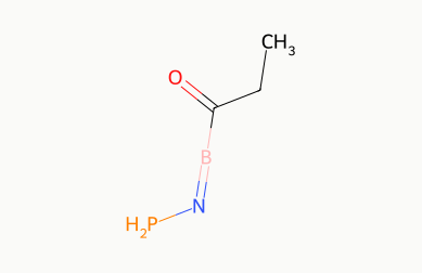 CCC(=O)/B=N\P